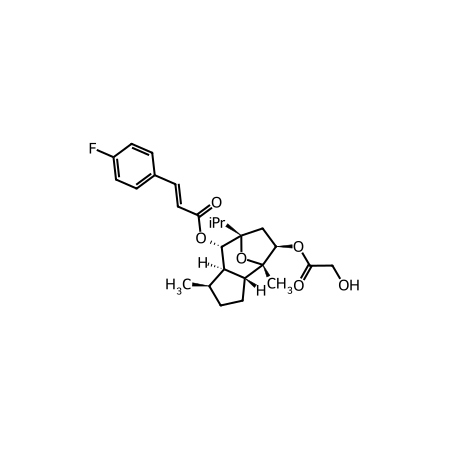 CC(C)[C@@]12C[C@@H](OC(=O)CO)[C@@](C)(O1)[C@@H]1CC[C@@H](C)[C@H]1[C@@H]2OC(=O)/C=C/c1ccc(F)cc1